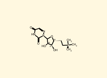 C=P(C)(C)CC[C@H]1OC(n2ncc(=O)[nH]c2=O)[C@H](O)[C@@H]1O